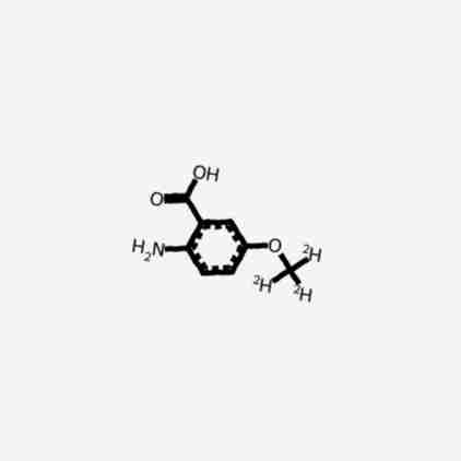 [2H]C([2H])([2H])Oc1ccc(N)c(C(=O)O)c1